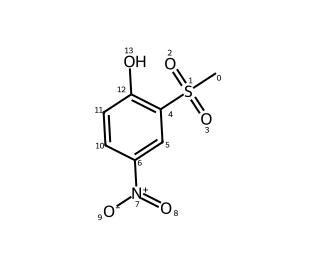 CS(=O)(=O)c1cc([N+](=O)[O-])ccc1O